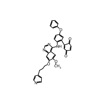 COc1cc2c(Nc3ccc(Oc4ccccc4)cc3C3=CC(=O)C=CC3=O)ncnc2cc1OCCCc1ccncc1